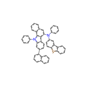 c1ccc(N(c2ccc3sc4ccccc4c3c2)c2cc3ccccc3c3c2c2ccc(-c4cccc5ccccc45)cc2n3-c2ccccc2)cc1